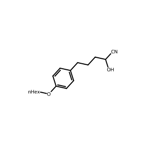 CCCCCCOc1ccc(CCCC(O)C#N)cc1